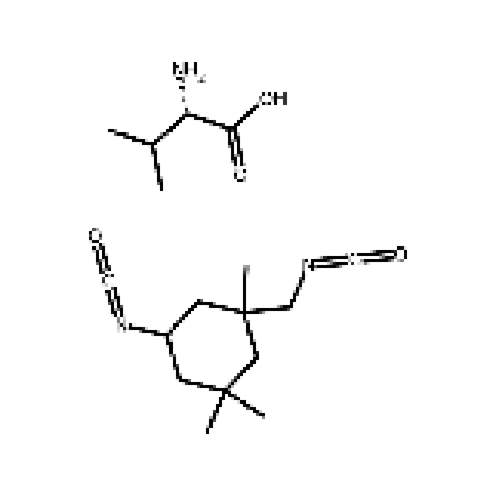 CC(C)[C@H](N)C(=O)O.CC1(C)CC(N=C=O)CC(C)(CN=C=O)C1